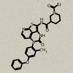 CCC(=O)N1CCCC(C(=O)Nc2sc3nccc4c3c2NC(=O)N4c2ccc(Oc3ccccc3)cc2C)C1